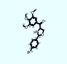 COc1cc(C(=O)C2COC(c3ccc(Br)cc3)N2)cc(OC)c1OC